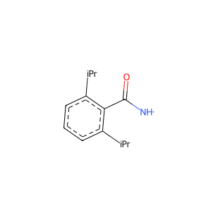 CC(C)c1cccc(C(C)C)c1C([NH])=O